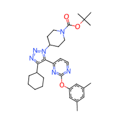 Cc1cc(C)cc(Oc2nccc(-c3c(C4CCCCC4)nnn3C3CCN(C(=O)OC(C)(C)C)CC3)n2)c1